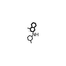 Cc1[c]c(NC2CCCC(C)C2)cc2ccccc12